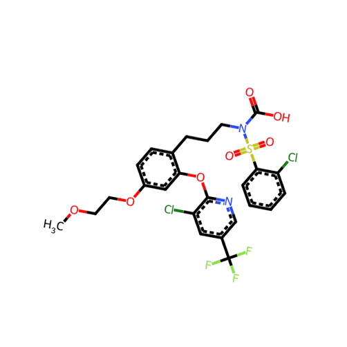 COCCOc1ccc(CCCN(C(=O)O)S(=O)(=O)c2ccccc2Cl)c(Oc2ncc(C(F)(F)F)cc2Cl)c1